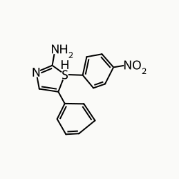 NC1=NC=C(c2ccccc2)[SH]1c1ccc([N+](=O)[O-])cc1